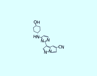 N#Cc1ccn2ncc(-c3nccc(N[C@H]4CC[C@H](O)CC4)n3)c2c1